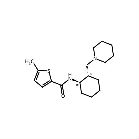 Cc1ccc(C(=O)N[C@@H]2CCCC[C@H]2CN2CCCCC2)s1